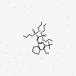 CCCOP(=O)(OCCC)C(=Cc1cc(C(C)(C)C)c(O)c2c1CCCC2)P(=O)(OCCC)OCCC